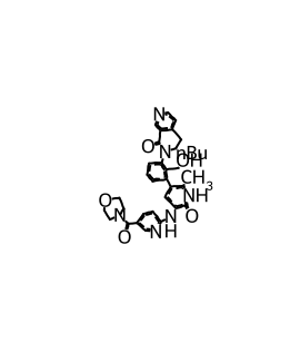 CCCCC1Cc2ccncc2C(=O)N1c1cccc(-c2cc(Nc3ccc(C(=O)N4CCOCC4)cn3)c(=O)[nH]c2C)c1CO